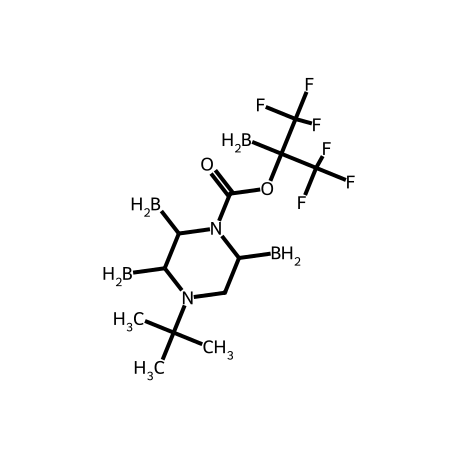 BC1CN(C(C)(C)C)C(B)C(B)N1C(=O)OC(B)(C(F)(F)F)C(F)(F)F